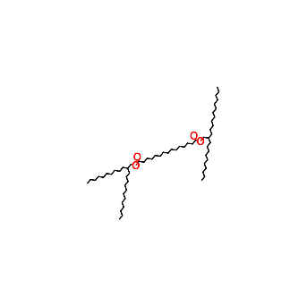 CCCCCCCCCCCCC(CCCCCCCCCC)COC(=O)CCCCCCCCCCCCCC(=O)OCC(CCCCCCCCCC)CCCCCCCCCCCC